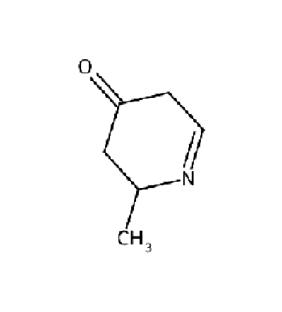 CC1CC(=O)CC=N1